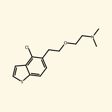 CN(C)CCOCCc1ccc2sccc2c1Cl